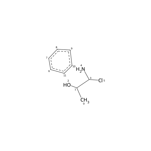 CC(O)C(N)Cl.c1ccccc1